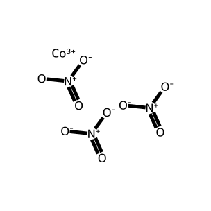 O=[N+]([O-])[O-].O=[N+]([O-])[O-].O=[N+]([O-])[O-].[Co+3]